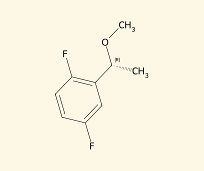 CO[C@H](C)c1cc(F)ccc1F